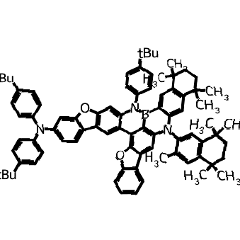 Cc1cc2c(cc1N1c3cc4c(cc3B3c5c1cc1c(oc6ccccc61)c5-c1cc5c(cc1N3c1ccc(C(C)(C)C)cc1)oc1cc(N(c3ccc(C(C)(C)C)cc3)c3ccc(C(C)(C)C)cc3)ccc15)C(C)(C)CCC4(C)C)C(C)(C)CCC2(C)C